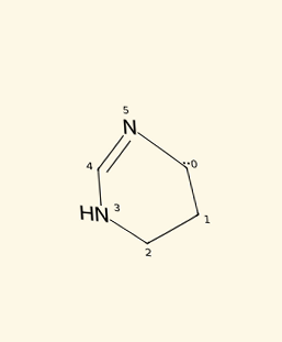 [C]1CCNC=N1